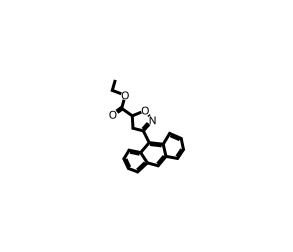 CCOC(=O)C1CC(c2c3ccccc3cc3ccccc23)=NO1